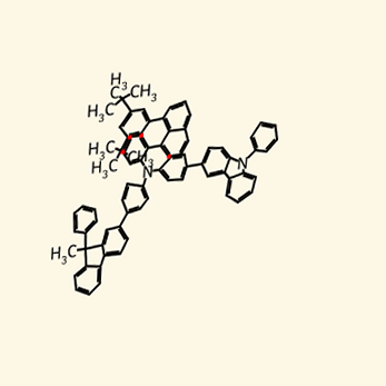 CC(C)(C)c1cc(-c2cccc3cccc(-c4ccccc4N(c4ccc(-c5ccc6c(c5)C(C)(c5ccccc5)c5ccccc5-6)cc4)c4ccc(-c5ccc6c(c5)c5ccccc5n6-c5ccccc5)cc4)c23)cc(C(C)(C)C)c1